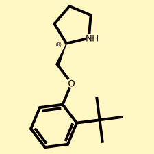 CC(C)(C)c1ccccc1OC[C@H]1CCCN1